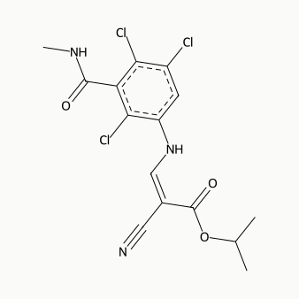 CNC(=O)c1c(Cl)c(Cl)cc(NC=C(C#N)C(=O)OC(C)C)c1Cl